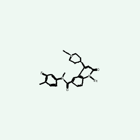 CCn1c(=O)cc(C2CCN(C)CC2)c2cc(C(=O)N(C)c3ccc(C)c(F)c3)ccc21